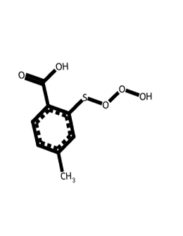 Cc1ccc(C(=O)O)c(SOOO)c1